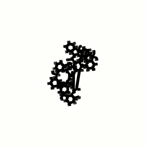 C=C(C1=C(/C=C\C)C(C)(C)c2ccccc21)N1C(=O)N(c2cccc3c2-c2ccccc2C3(C)C)C2=CB3c4cc5cc6c4N2C1=CB6c1c(C(C)C)cccc1C(C)c1cccc2c4cccc(c4n-5c12)C(C)c1cccc(C)c13